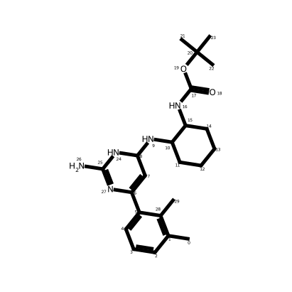 Cc1cccc(C2=CC(NC3CCCCC3NC(=O)OC(C)(C)C)NC(N)=N2)c1C